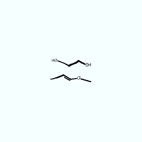 C/C=C/OC.OCCO